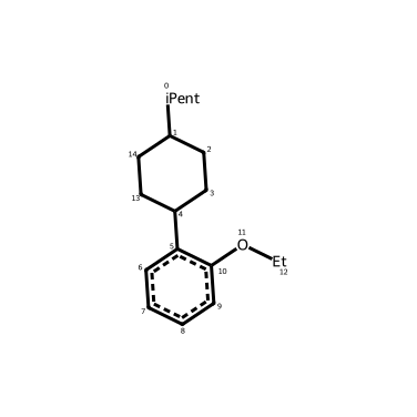 CCCC(C)C1CCC(c2ccccc2OCC)CC1